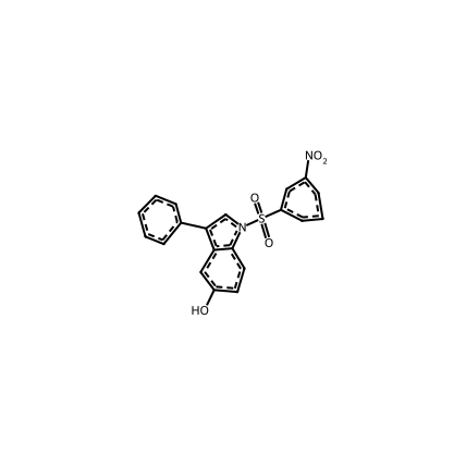 O=[N+]([O-])c1cccc(S(=O)(=O)n2cc(-c3ccccc3)c3cc(O)ccc32)c1